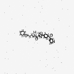 O=C(c1ccc(C2=N[C@H](C(=O)NCCCCOC3CCCCC3)CO2)cc1)c1cccnc1